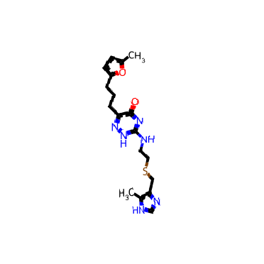 Cc1ccc(CCCc2n[nH]c(NCCSCc3nc[nH]c3C)nc2=O)o1